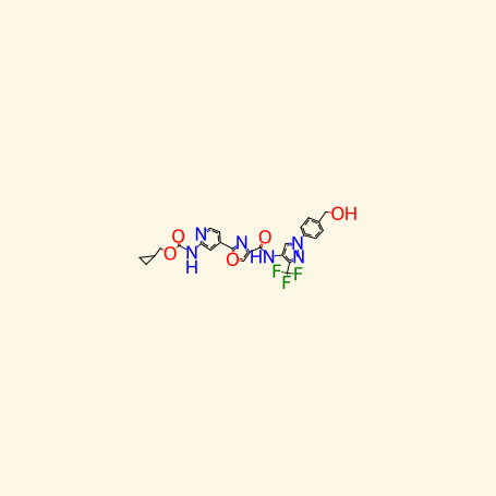 O=C(Nc1cc(-c2nc(C(=O)Nc3cn(-c4ccc(CO)cc4)nc3C(F)(F)F)co2)ccn1)OCC1CC1